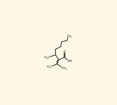 CCCCCC(C)C(C(=O)O)=C(C)C